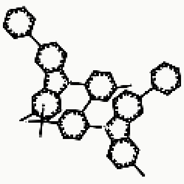 Cc1ccc(-n2c3ccc(C)cc3c3cc(-c4ccccc4)ccc32)c(-c2cc(C(F)(F)F)ccc2-n2c3ccc(C)cc3c3cc(-c4ccccc4)ccc32)c1